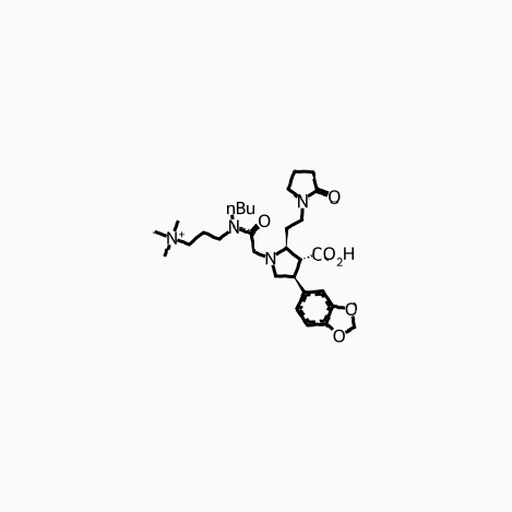 CCCCN(CCC[N+](C)(C)C)C(=O)CN1C[C@H](c2ccc3c(c2)OCO3)[C@@H](C(=O)O)[C@@H]1CCN1CCCC1=O